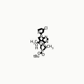 C[C@H]1CN(C(=O)OC(C)(C)C)CCN1c1ncnc2c1c(C(C)(C)O)cn2-c1cc(Cl)ccn1